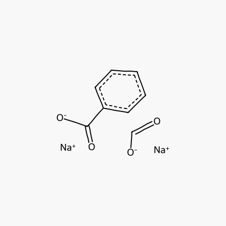 O=C([O-])c1ccccc1.O=C[O-].[Na+].[Na+]